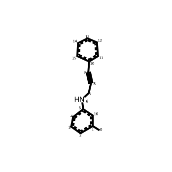 Cc1cccc(NCC#Cc2ccccc2)c1